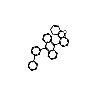 C1=Cc2oc3cccc(-c4c5ccccc5c(-c5cccc(-c6ccccc6)c5)c5ccccc45)c3c2CC1